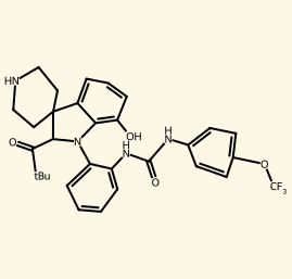 CC(C)(C)C(=O)C1N(c2ccccc2NC(=O)Nc2ccc(OC(F)(F)F)cc2)c2c(O)cccc2C12CCNCC2